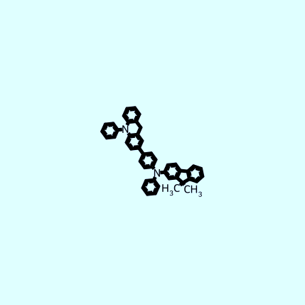 CC1(C)c2ccccc2-c2ccc(N(c3ccccc3)c3ccc(-c4ccc5c(c4)Cc4ccccc4N5c4ccccc4)cc3)cc21